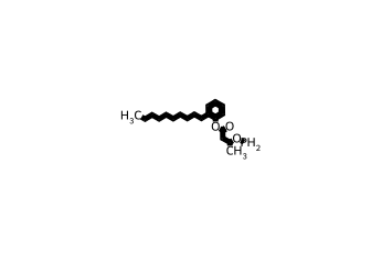 CCCCCCCCCCc1ccccc1OC(=O)CC(C)OP